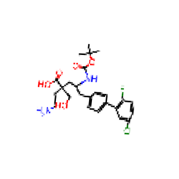 CC(C)(C)OC(=O)NC(Cc1ccc(-c2cc(Cl)ccc2F)cc1)CC(CO)(CCN)C(=O)O